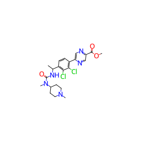 COC(=O)c1cnc(-c2ccc(C(C)NC(=O)N(C)C3CCN(C)CC3)c(Cl)c2Cl)cn1